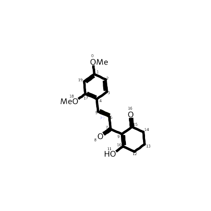 COc1ccc(/C=C/C(=O)C2=C(O)CCCC2=O)c(OC)c1